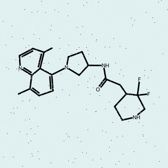 Cc1ccc(N2CCC(NC(=O)CC3CCNCC3(F)F)C2)c2c(C)ccnc12